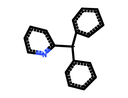 c1ccc([C](c2ccccc2)c2ccccn2)cc1